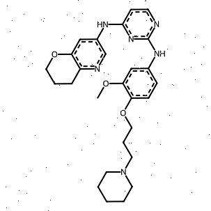 COc1cc(Nc2nccc(Nc3cnc4c(c3)OCCC4)n2)ccc1OCCCN1CCCCC1